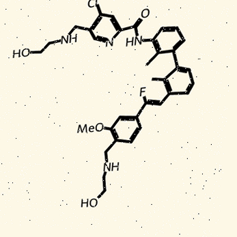 COc1cc(/C(F)=C/c2cccc(-c3cccc(NC(=O)c4cc(Cl)c(CNCCO)cn4)c3C)c2C)ccc1CNCCO